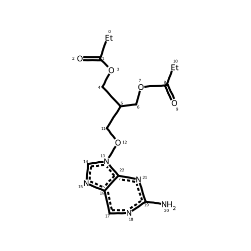 CCC(=O)OCC(COC(=O)CC)COn1cnc2cnc(N)nc21